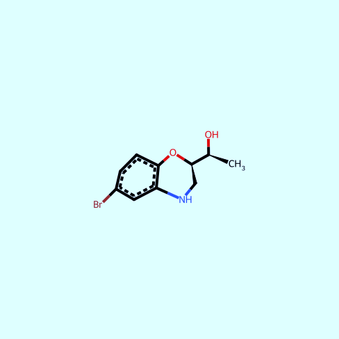 C[C@H](O)[C@H]1CNc2cc(Br)ccc2O1